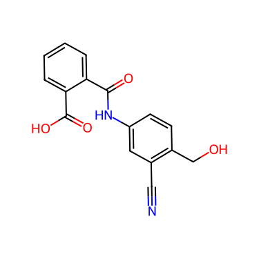 N#Cc1cc(NC(=O)c2ccccc2C(=O)O)ccc1CO